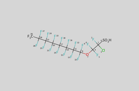 O=S(=O)(O)C(F)(Cl)C(F)(F)OC(F)(F)C(F)(F)C(F)(F)C(F)(F)C(F)(F)C(F)(F)C(F)(F)C(F)(F)F